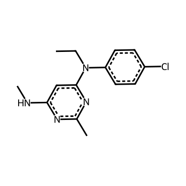 CCN(c1ccc(Cl)cc1)c1cc(NC)nc(C)n1